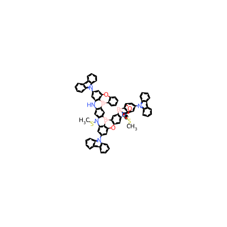 CSN1c2cc3c(cc2B2c4cc5c(cc4Oc4cc(-n6c7ccccc7c7ccccc76)cc1c42)N(SC)c1cc(-n2c4ccccc4c4ccccc42)cc2c1B5c1ccccc1O2)B1c2ccccc2Oc2cc(-n4c5ccccc5c5ccccc54)cc(c21)N3